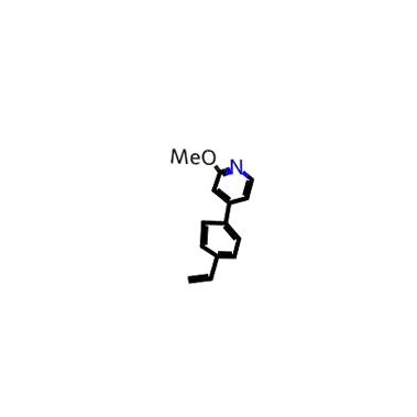 C=Cc1ccc(-c2ccnc(OC)c2)cc1